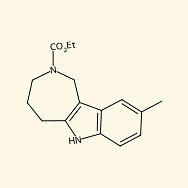 CCOC(=O)N1CCCc2[nH]c3ccc(C)cc3c2C1